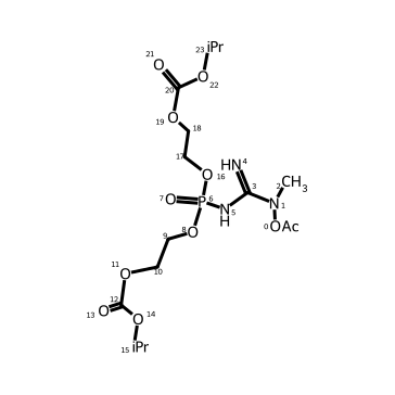 CC(=O)ON(C)C(=N)NP(=O)(OCCOC(=O)OC(C)C)OCCOC(=O)OC(C)C